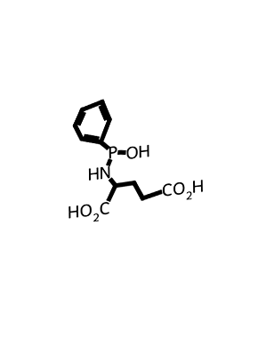 O=C(O)CCC(NP(O)c1ccccc1)C(=O)O